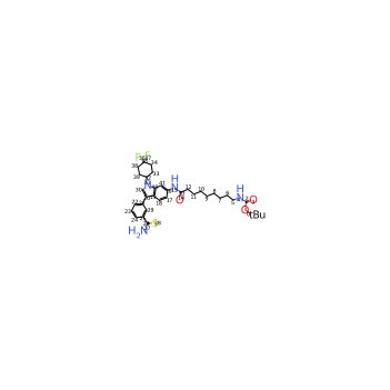 CC(C)(C)OC(=O)NCCCCCCCCC(=O)Nc1ccc2c(-c3cccc(C(N)=S)c3)cn(C3CCC(F)(F)CC3)c2c1